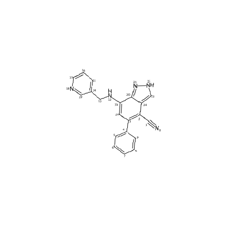 N#Cc1c(-c2ccccc2)cc(NCc2cccnc2)c2n[nH]cc12